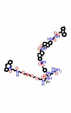 CC(C)[C@H](NC(=O)CCOCCOCCOCCOCCNC(=O)CCC(=O)N1Cc2ccccc2C#Cc2ccccc21)C(=O)N[C@@H](CCCNC(N)=O)C(=O)Nc1ccc(COC(=O)Nc2ccc3c(c2)[C@@]2(C)CCC[C@](C)(C(=O)NC(=O)[C@@]4(C)CCC[C@]5(C)c6cc(NC(=O)CNC(=O)OCC7c8ccccc8-c8ccccc87)ccc6CC[C@@H]45)C2CC3)cc1